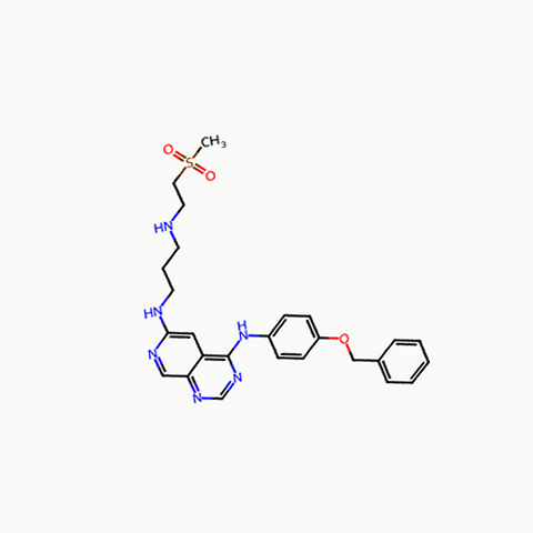 CS(=O)(=O)CCNCCCNc1cc2c(Nc3ccc(OCc4ccccc4)cc3)ncnc2cn1